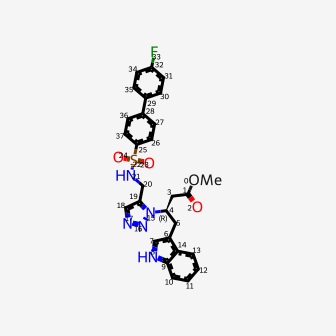 COC(=O)C[C@@H](Cc1c[nH]c2ccccc12)n1nncc1CNS(=O)(=O)c1ccc(-c2ccc(F)cc2)cc1